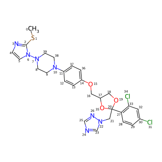 CSc1nccn1N1CCN(c2ccc(OCC3COC(Cn4cncn4)(c4ccc(Cl)cc4Cl)O3)cc2)CC1